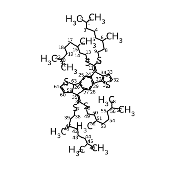 CC(C)CCCC(C)CCSC(SCCC(C)CCCC(C)C)=C1c2cc3c(cc2-c2sccc21)C(=C(SCCC(C)CCCC(C)C)SCCC(C)CCCC(C)C)C1C=CSC31